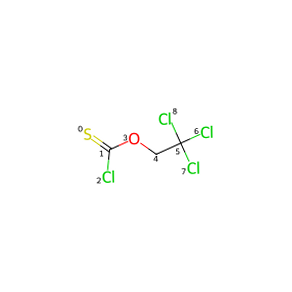 S=C(Cl)OCC(Cl)(Cl)Cl